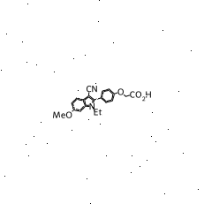 CCn1c(-c2ccc(OCC(=O)O)cc2)c(C#N)c2ccc(OC)cc21